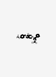 CCC(=O)N1CC(c2ccccc2)[C@@H](CN2CCC3(CC2)CCN(Cc2ccc(OC(F)F)cc2)C3=O)C1